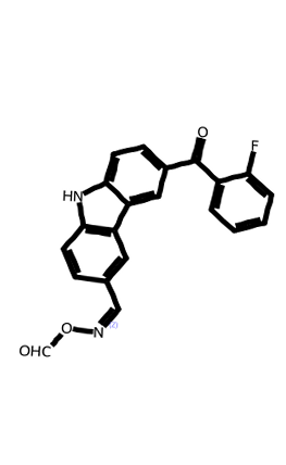 O=CO/N=C\c1ccc2[nH]c3ccc(C(=O)c4ccccc4F)cc3c2c1